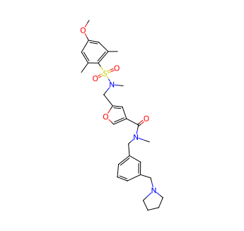 COc1cc(C)c(S(=O)(=O)N(C)Cc2cc(C(=O)N(C)Cc3cccc(CN4CCCC4)c3)co2)c(C)c1